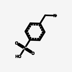 [N]Cc1ccc(S(=O)(=O)O)cc1